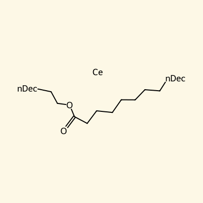 CCCCCCCCCCCCCCCCCC(=O)OCCCCCCCCCCCC.[Ce]